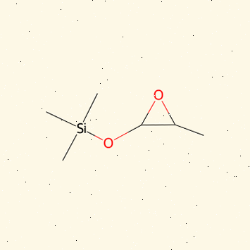 CC1OC1O[Si](C)(C)C